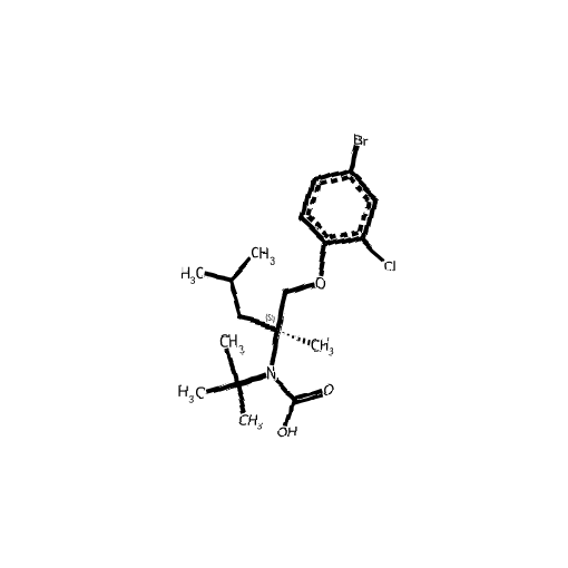 CC(C)C[C@@](C)(COc1ccc(Br)cc1Cl)N(C(=O)O)C(C)(C)C